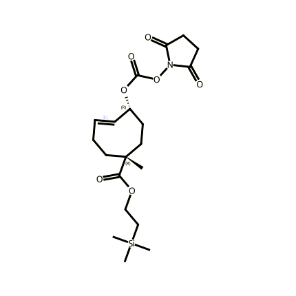 C[C@@]1(C(=O)OCC[Si](C)(C)C)CC/C=C/[C@H](OC(=O)ON2C(=O)CCC2=O)CC1